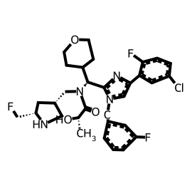 C[C@H](O)C(=O)N(C[C@@H]1CN[C@H](CF)C1)[C@@H](c1nc(-c2cc(Cl)ccc2F)cn1Cc1cccc(F)c1)C1CCOCC1